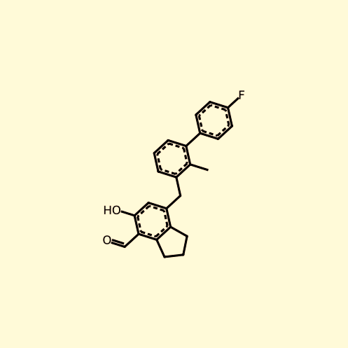 Cc1c(Cc2cc(O)c(C=O)c3c2CCC3)cccc1-c1ccc(F)cc1